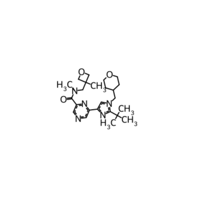 CN(CC1(C)COC1)C(=O)c1cncc(-c2cn(CC3CCOCC3)c(C(C)(C)C)n2)n1